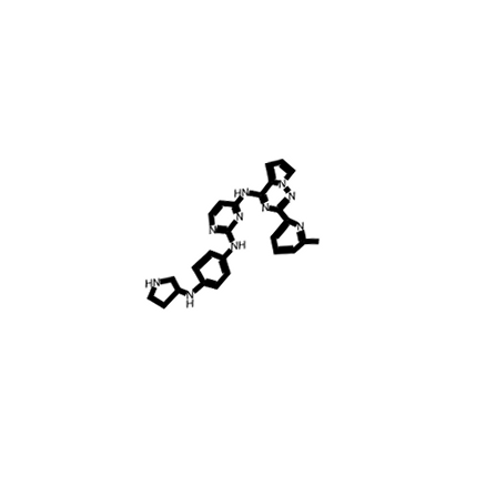 Cc1cccc(-c2nc(Nc3ccnc(Nc4ccc(NC5CCNC5)cc4)n3)c3cccn3n2)n1